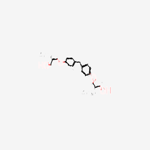 CC(=O)OC(CO)COc1ccc(Cc2ccc(OCC(CO)OC(C)=O)cc2)cc1